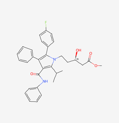 COC(=O)C[C@H](O)CCn1c(-c2ccc(F)cc2)c(-c2ccccc2)c(C(=O)Nc2ccccc2)c1C(C)C